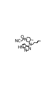 C/C=C/CCN(c1ncnc2[nH]ccc12)C1CN(C(=O)CC#N)CC[C@H]1C